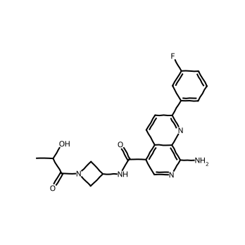 CC(O)C(=O)N1CC(NC(=O)c2cnc(N)c3nc(-c4cccc(F)c4)ccc23)C1